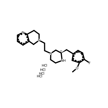 COc1cc(C[C@@H]2CN(CCN3CCc4ncccc4C3)CCN2)ccc1F.Cl.Cl.Cl.Cl